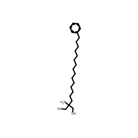 NC(CO)(CO)CCCCCCCCCCCCCCCc1ccccc1